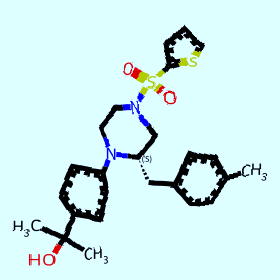 Cc1ccc(C[C@H]2CN(S(=O)(=O)c3cccs3)CCN2c2ccc(C(C)(C)O)cc2)cc1